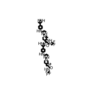 Cn1c(C(=O)NCC(F)(F)F)cc2c1CN(c1nccc(Nc3ccc(-c4c[nH][n+](-c5c(C(=O)N6CC(F)(F)C6)[nH]c6c5CCN(c5nccc(Nc7ccc(-c8cn[nH]c8)cc7)n5)C6(C)C)c4)cc3)n1)CC2